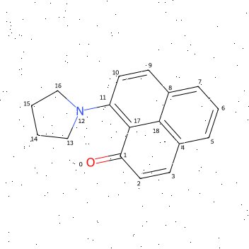 O=C1C=Cc2cccc3ccc(N4CCCC4)c1c23